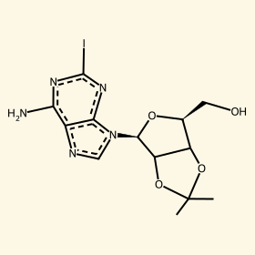 CC1(C)OC2C(O1)[C@@H](n1cnc3c(N)nc(I)nc31)O[C@H]2CO